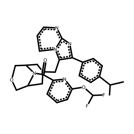 CC(C)c1ccc(-c2nc3ncccn3c2CN2CC3COCC(C2)N3C(=O)c2cccc(OC(F)F)n2)cc1